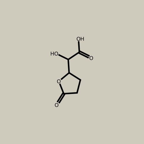 O=C1CCC(C(O)C(=O)O)O1